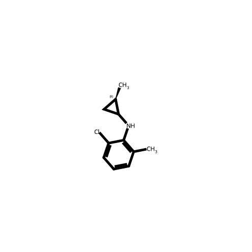 Cc1cccc(Cl)c1NC1C[C@H]1C